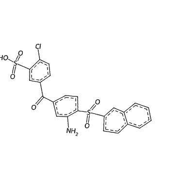 Nc1cc(C(=O)c2ccc(Cl)c(S(=O)(=O)O)c2)ccc1S(=O)(=O)c1ccc2ccccc2c1